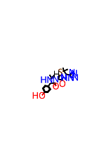 CC1(C)S[C@H]2C(N3C(=O)C(c4ccc(O)cc4)NC3(C)C)C(=O)N2C1c1nnn[nH]1